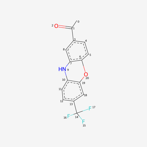 CC(=O)c1ccc2c(c1)Nc1ccc(C(F)(F)F)cc1O2